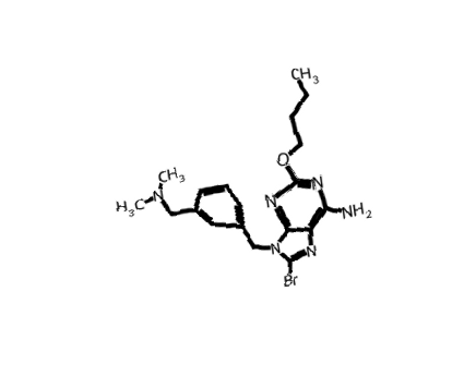 CCCCOc1nc(N)c2nc(Br)n(Cc3cccc(CN(C)C)c3)c2n1